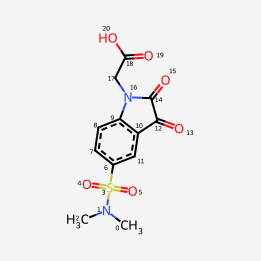 CN(C)S(=O)(=O)c1ccc2c(c1)C(=O)C(=O)N2CC(=O)O